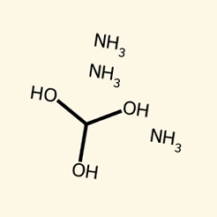 N.N.N.OC(O)O